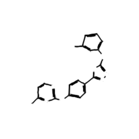 Cc1cccc(Nc2nnc(-c3ccc(Oc4nccc(Cl)n4)cc3)o2)c1